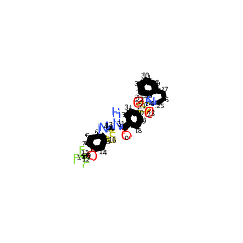 O=C(Nc1nc2ccc(OC(F)(F)F)cc2s1)c1ccc(S(=O)(=O)N2CCCc3ccccc32)cc1